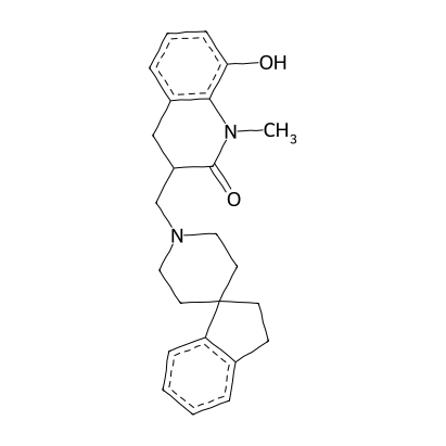 CN1C(=O)C(CN2CCC3(CCc4ccccc43)CC2)Cc2cccc(O)c21